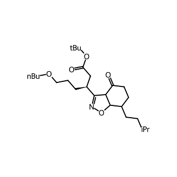 CCCCOCCC[C@@H](CC(=O)OC(C)(C)C)C1=NOC2C(CCC(C)C)CCC(=O)C12